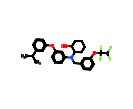 CC(C)c1cccc(Oc2cccc(N(Cc3cccc(OC(F)(F)C(F)F)c3)C3CCCCC3O)c2)c1